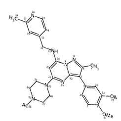 COc1ccc(-c2c(C)nn3c(NCc4ccnc(C)c4)cc(N4CCN(C(C)=O)CC4)nc23)cc1OC